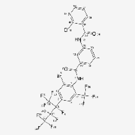 O=C(Nc1c(Br)cc(C(F)(C(F)(F)F)C(F)(F)C(F)(F)F)cc1C(F)(F)F)c1cccc(NC(=O)c2cccnc2Cl)c1